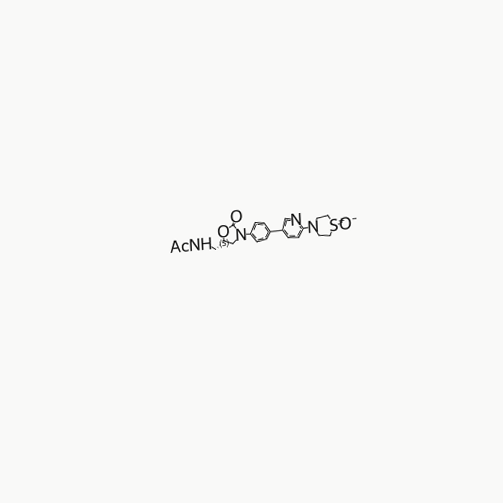 CC(=O)NC[C@H]1CN(c2ccc(-c3ccc(N4CC[S+]([O-])CC4)nc3)cc2)C(=O)O1